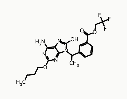 CCCCOc1nc(N)c2nc(O)n(C(C)c3cccc(C(=O)OCC(F)(F)F)c3)c2n1